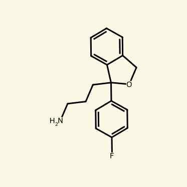 NCCCC1(c2ccc(F)cc2)OCc2ccccc21